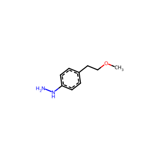 COCCc1ccc(NN)cc1